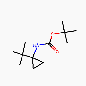 CC(C)(C)OC(=O)NC1(C(C)(C)C)CC1